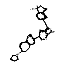 CC1(O)CCc2cc(-c3n[nH]c4ncc(-c5ccc6c(c5)CC[C@@H](N5CCCC5)CC6)cc34)ccc21